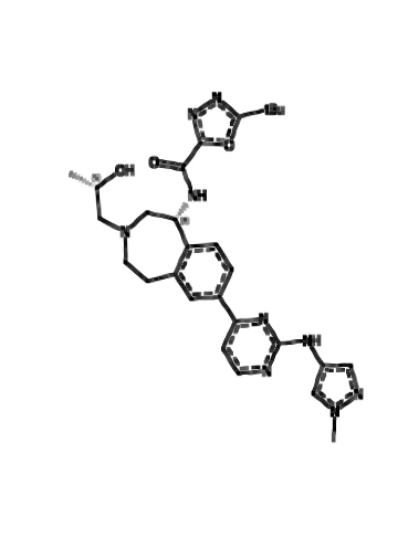 C[C@H](O)CN1CCc2cc(-c3ccnc(Nc4cnn(C)c4)n3)ccc2[C@@H](NC(=O)c2nnc(C(C)(C)C)o2)C1